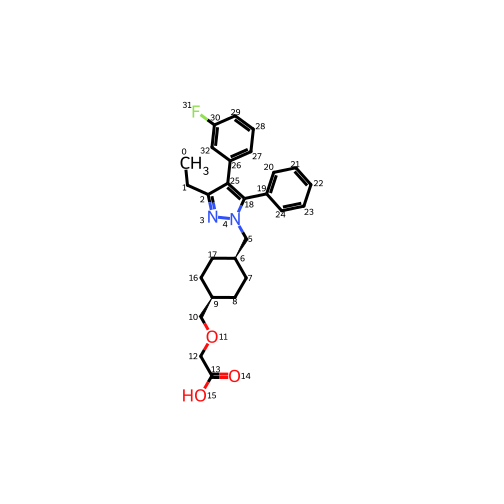 CCc1nn(C[C@H]2CC[C@@H](COCC(=O)O)CC2)c(-c2ccccc2)c1-c1cccc(F)c1